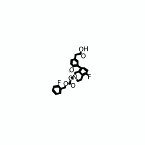 COc1ccc(CC(=O)O)cc1-c1ccc(F)c2c1CN(OC(=O)OCc1ccccc1F)CC2